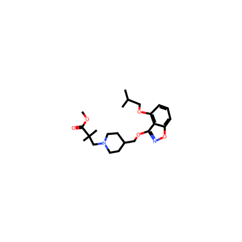 COC(=O)C(C)(C)CN1CCC(COc2noc3cccc(OCC(C)C)c23)CC1